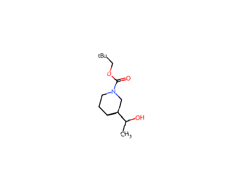 CC(O)C1CCCN(C(=O)OCC(C)(C)C)C1